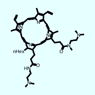 C=CC1=C(C)c2cc3[nH]c(cc4nc(cc5[nH]c(cc1n2)c(C)c5CCC(=O)N(C)CCN(C)C)C(CCC(=O)NCCN(C)C)C4CCCCCC)c(C)c3C=C